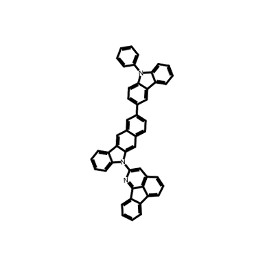 c1ccc(-n2c3ccccc3c3cc(-c4ccc5cc6c(cc5c4)c4ccccc4n6-c4cc5cccc6c5c(n4)-c4ccccc4-6)ccc32)cc1